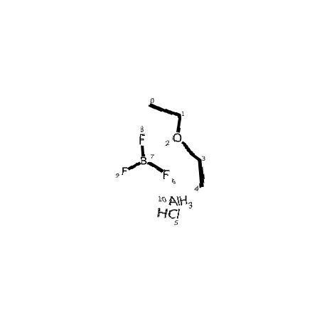 CCOCC.Cl.FB(F)F.[AlH3]